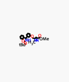 COC(=O)c1cc(COc2cccc([C@@H](NC(=O)OC(C)(C)C)c3ccccc3)c2)n(C)n1